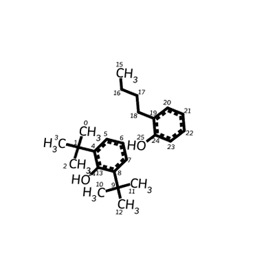 CC(C)(C)c1cccc(C(C)(C)C)c1O.CCCCc1ccccc1O